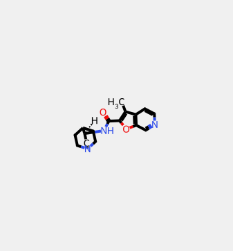 Cc1c(C(=O)N[C@H]2CN3CCC2CC3)oc2cnccc12